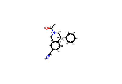 CC(=O)N1Cc2cc(C#N)ccc2[C@@H](c2ccccc2)C1